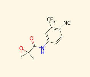 [C-]#[N+]c1ccc(NC(=O)C2(C)CO2)cc1C(F)(F)F